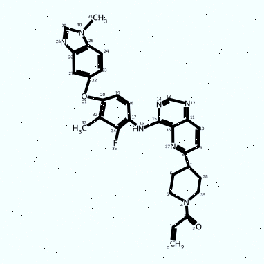 C=CC(=O)N1CCC(c2ccc3ncnc(Nc4ccc(Oc5ccc6c(c5)ncn6C)c(C)c4F)c3n2)CC1